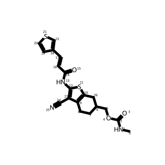 CNC(=O)OCC1CCc2c(sc(NC(=O)C=Cc3ccsc3)c2C#N)C1